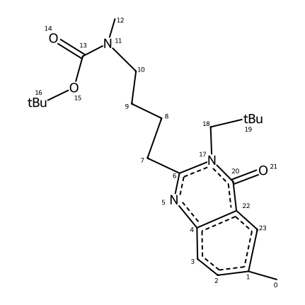 Cc1ccc2nc(CCCCN(C)C(=O)OC(C)(C)C)n(CC(C)(C)C)c(=O)c2c1